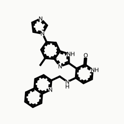 Cc1cc(-n2ccnc2)cc2[nH]c(-c3c(NCc4ccc5ccccc5n4)cc[nH]c3=O)nc12